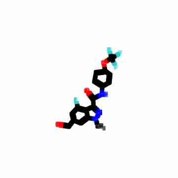 Cn1nc(C(=O)Nc2ccc(OC(F)(F)F)cc2)c2c(F)cc(C=O)cc21